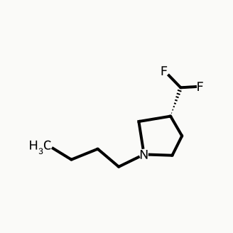 CCCCN1CC[C@@H](C(F)F)C1